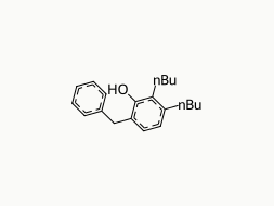 CCCCc1ccc(Cc2ccccc2)c(O)c1CCCC